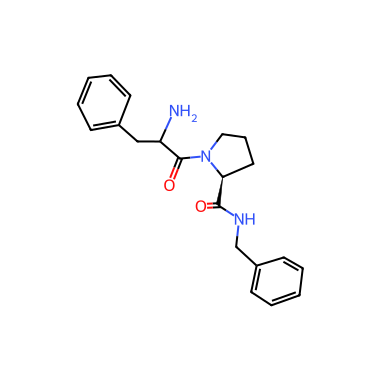 NC(Cc1ccccc1)C(=O)N1CCC[C@H]1C(=O)NCc1ccccc1